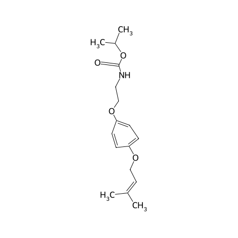 CC(C)=CCOc1ccc(OCCNC(=O)OC(C)C)cc1